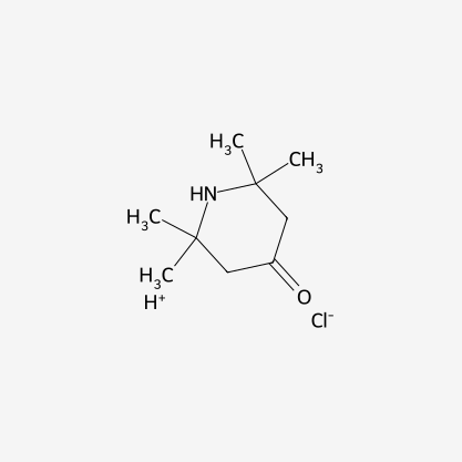 CC1(C)CC(=O)CC(C)(C)N1.[Cl-].[H+]